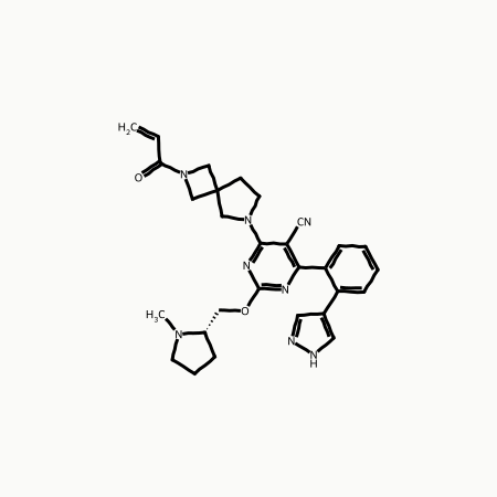 C=CC(=O)N1CC2(CCN(c3nc(OC[C@@H]4CCCN4C)nc(-c4ccccc4-c4cn[nH]c4)c3C#N)C2)C1